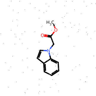 COC(=O)Cn1[c]cc2ccccc21